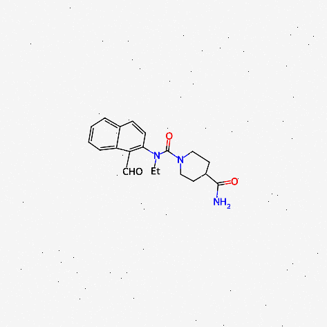 CCN(C(=O)N1CCC(C(N)=O)CC1)c1ccc2ccccc2c1C=O